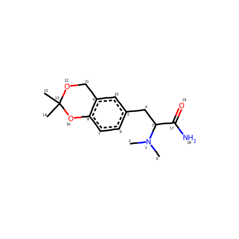 CN(C)C(Cc1ccc2c(c1)COC(C)(C)O2)C(N)=O